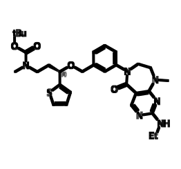 CCNc1ncc2c(n1)N(C)CCN(c1cccc(CO[C@H](CCN(C)C(=O)OC(C)(C)C)c3cccs3)c1)C2=O